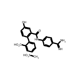 CS(=O)(=O)O.N=C(N)c1ccc(NC(=O)c2cc(O)ccc2-c2ccccc2C(=O)O)cc1